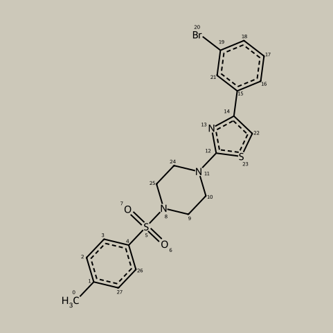 Cc1ccc(S(=O)(=O)N2CCN(c3nc(-c4cccc(Br)c4)cs3)CC2)cc1